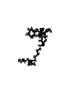 C=CCN(C)CCCCCCOc1ccc(N(C)S(=O)(=O)Cc2ccccc2)cc1